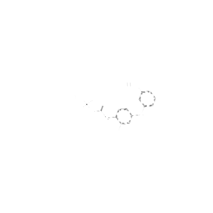 Cc1cccc(Oc2ccc(NC(=O)OC(C)(C)C)c(F)c2)c1